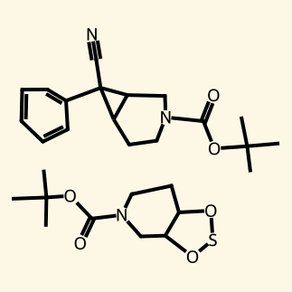 CC(C)(C)OC(=O)N1CCC2C(C1)C2(C#N)c1ccccc1.CC(C)(C)OC(=O)N1CCC2OSOC2C1